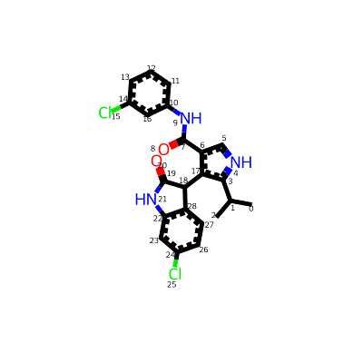 CC(C)c1[nH]cc(C(=O)Nc2cccc(Cl)c2)c1C1C(=O)Nc2cc(Cl)ccc21